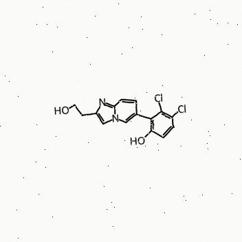 OCCc1cn2cc(-c3c(O)ccc(Cl)c3Cl)ccc2n1